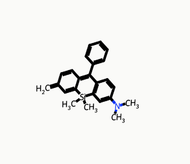 C=c1ccc2c(c1)[Si](C)(C)c1cc(N(C)C)ccc1C=2c1ccccc1